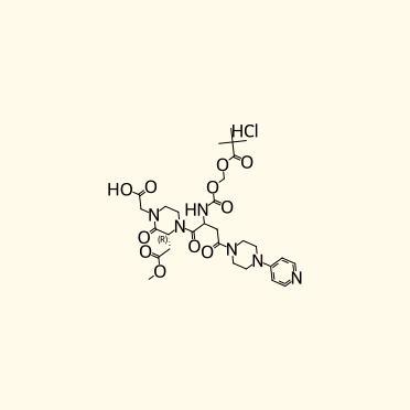 COC(=O)C[C@@H]1C(=O)N(CC(=O)O)CCN1C(=O)C(CC(=O)N1CCN(c2ccncc2)CC1)NC(=O)OCOC(=O)C(C)(C)C.Cl